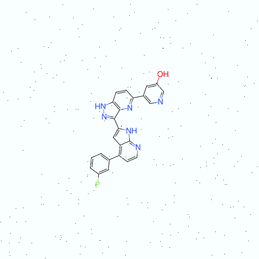 Oc1cncc(-c2ccc3[nH]nc(-c4cc5c(-c6cccc(F)c6)ccnc5[nH]4)c3n2)c1